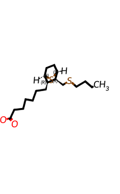 CCCCSC[C@H]1[C@@H](CCCCCCC(=O)O)[C@H]2CC[C@@H]1S2